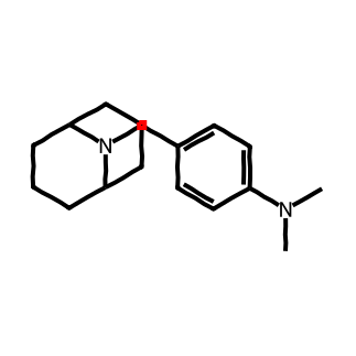 CN(C)c1ccc(CN2C3CCCC2CCC3)cc1